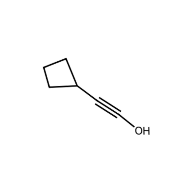 OC#CC1CCC1